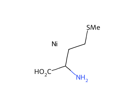 CSCCC(N)C(=O)O.[Ni]